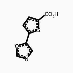 O=C(O)c1ccc(-c2cnco2)s1